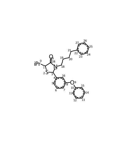 CC(C)C1SC(c2cccc(Oc3ccccc3)c2)N(CCCCc2ccccc2)C1=O